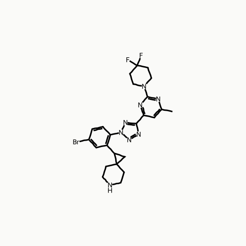 Cc1cc(-c2nnn(-c3ccc(Br)cc3C3CC34CCNCC4)n2)nc(N2CCC(F)(F)CC2)n1